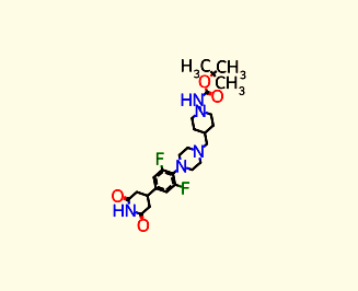 CC(C)(C)OC(=O)NN1CCC(CN2CCN(c3c(F)cc(C4CC(=O)NC(=O)C4)cc3F)CC2)CC1